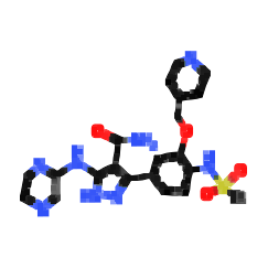 CCS(=O)(=O)Nc1ccc(-c2n[nH]c(Nc3cnccn3)c2C(N)=O)cc1OCc1ccncc1